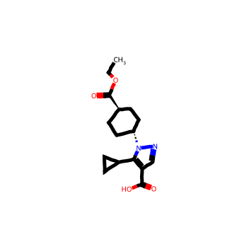 CCOC(=O)[C@H]1CC[C@H](n2ncc(C(=O)O)c2C2CC2)CC1